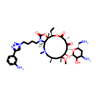 CC[C@H]1OC(=O)[C@H](C)C(=O)[C@H](C)[C@@H](O[C@@H]2O[C@H](CN)CC(N)C2O)[C@](C)(OC)C[C@@H](C)CN(C)[C@H](C)[C@H]2N(CCCCn3cc(-c4cccc(N)c4)nn3)C(=O)O[C@]12C